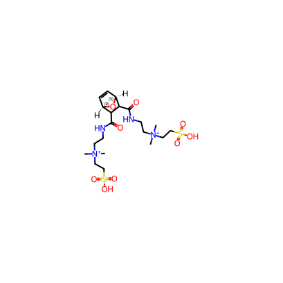 C[N+](C)(CCNC(=O)C1C(C(=O)NCC[N+](C)(C)CCS(=O)(=O)O)[C@H]2C=C[C@@H]1O2)CCS(=O)(=O)O